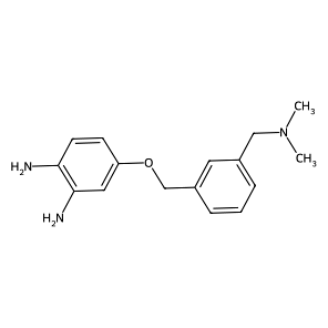 CN(C)Cc1cccc(COc2ccc(N)c(N)c2)c1